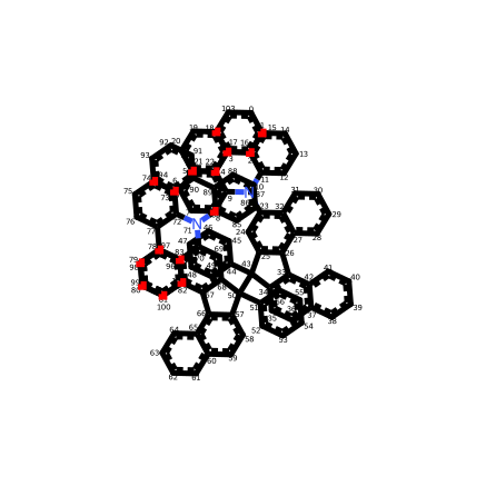 c1ccc(-c2ccccc2N(c2ccccc2-c2ccccc2)c2cc3c(c4ccccc24)-c2c(ccc4ccccc24)C3(c2ccccc2)C2(c3ccccc3)c3ccc4ccccc4c3-c3c2cc(N(c2ccccc2-c2ccccc2)c2ccccc2-c2ccccc2)c2ccccc32)cc1